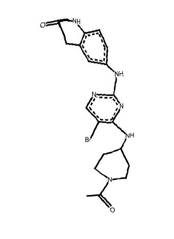 CC(=O)N1CCC(Nc2nc(Nc3ccc4c(c3)CC(=O)N4)ncc2Br)CC1